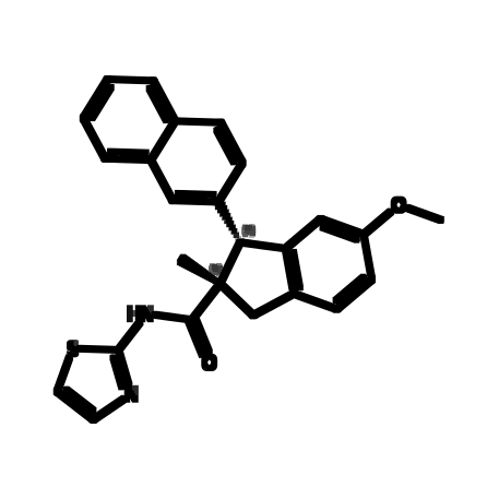 COc1ccc2c(c1)[C@@H](c1ccc3ccccc3c1)[C@@](C)(C(=O)Nc1nccs1)C2